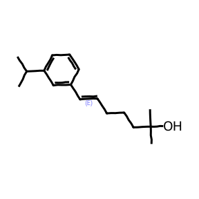 CC(C)c1cccc(/C=C/CCCC(C)(C)O)c1